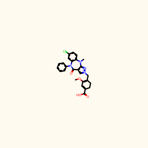 COC1=C(Cn2cc3c(n2)N(C)c2ccc(Cl)cc2N(c2ccccc2)C3=O)CCC(C(=O)O)=C1